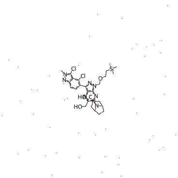 Cn1nc2ccc(-c3nn(COCC[Si](C)(C)C)c4nc(N5C6CCC5CN(C(=O)O)C6)c(CO)nc34)c(Cl)c2c1Cl